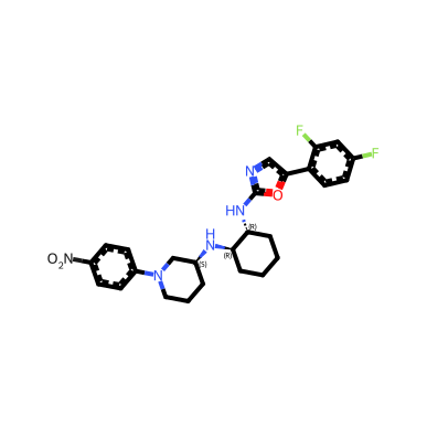 O=[N+]([O-])c1ccc(N2CCC[C@H](N[C@@H]3CCCC[C@H]3Nc3ncc(-c4ccc(F)cc4F)o3)C2)cc1